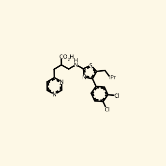 CC(C)Cc1sc(NCC(Cc2ccncn2)C(=O)O)nc1-c1ccc(Cl)c(Cl)c1